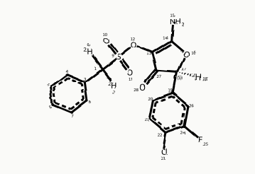 [2H]C([2H])(c1ccccc1)S(=O)(=O)OC1=C(N)O[C@@]([2H])(c2ccc(Cl)c(F)c2)C1=O